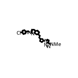 CNc1ncnc2c1ccn2C1CCC(CCc2ccc3ccc(NCc4ccc(Cl)cc4)nc3c2)C1